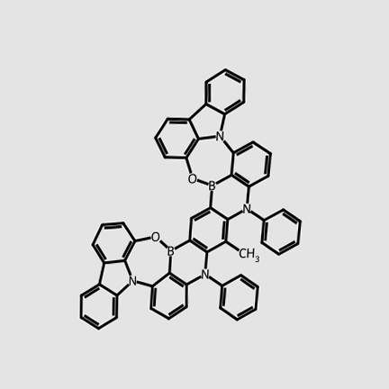 Cc1c2c(cc3c1N(c1ccccc1)c1cccc4c1B3Oc1cccc3c5ccccc5n-4c13)B1Oc3cccc4c5ccccc5n(c34)-c3cccc(c31)N2c1ccccc1